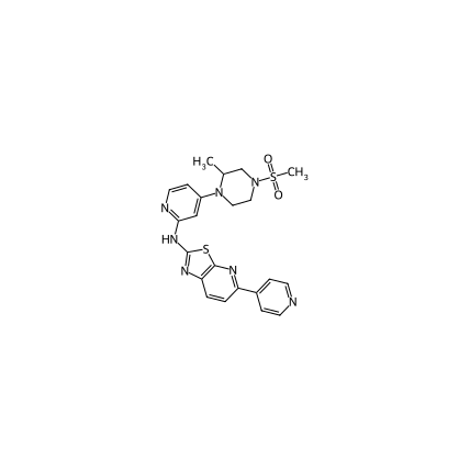 CC1CN(S(C)(=O)=O)CCN1c1ccnc(Nc2nc3ccc(-c4ccncc4)nc3s2)c1